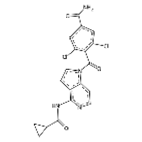 NC(=O)c1cc(Cl)c(C(=O)n2ccc3c(NC(=O)C4CC4)nccc32)c(Cl)c1